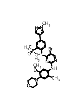 COc1cc(Nc2ncc(Br)c(Nc3ccc(-c4cnn(C)c4)cc3P(C)(C)=O)n2)c(C)cc1N1CCOCC1